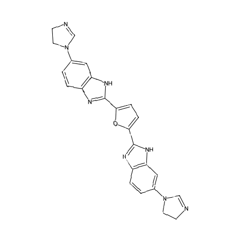 C1=NCCN1c1ccc2nc(-c3ccc(-c4nc5ccc(N6C=NCC6)cc5[nH]4)o3)[nH]c2c1